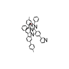 Cc1ccc(-c2ccc3c4ccc(-c5ccc(C)cc5)cc4n(-c4cc(-c5cccnc5)ccc4-c4nc(-c5ccccc5)nc(-c5ccccc5)n4)c3c2)cc1